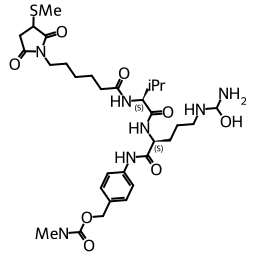 CNC(=O)OCc1ccc(NC(=O)[C@H](CCCNC(N)O)NC(=O)[C@@H](NC(=O)CCCCCN2C(=O)CC(SC)C2=O)C(C)C)cc1